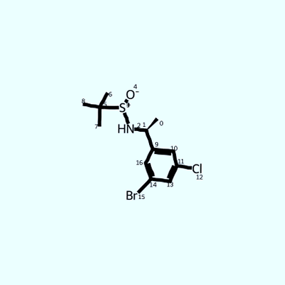 C[C@H](N[S+]([O-])C(C)(C)C)c1cc(Cl)cc(Br)c1